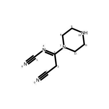 N#CC/C(=N\C#N)N1CCNCC1